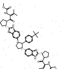 COC(=O)NC(C(=O)C1CCC[C@H]1c1nc2cc([C@@H]3CC[C@@H](c4ccc5[nH]c([C@@H]6CCCN6C(=O)C(NC(=O)OC)=C(C)C)nc5c4)N3c3ccc(C(C)(C)C)cc3)ccc2[nH]1)=C(C)C